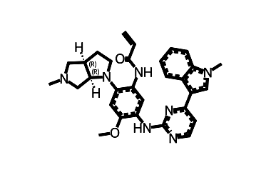 C=CC(=O)Nc1cc(Nc2nccc(-c3cn(C)c4ccccc34)n2)c(OC)cc1N1CC[C@@H]2CN(C)C[C@@H]21